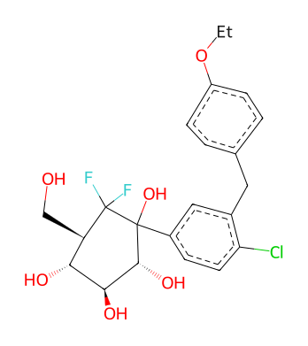 CCOc1ccc(Cc2cc(C3(O)[C@H](O)[C@@H](O)[C@H](O)[C@@H](CO)C3(F)F)ccc2Cl)cc1